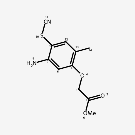 COC(=O)COc1cc(N)c(SC#N)cc1C